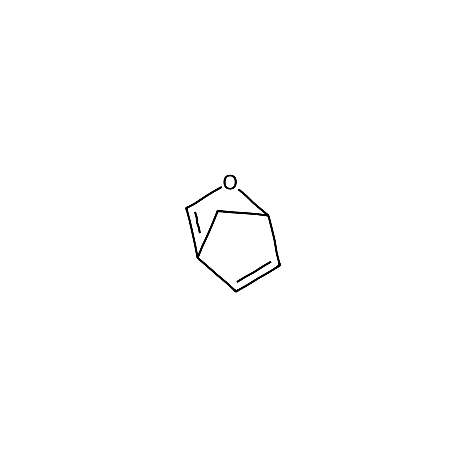 C1=CC2CC1=CO2